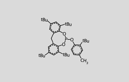 Cc1ccc(OP2Oc3c(cc(C(C)(C)C)cc3C(C)(C)C)Cc3cc(C(C)(C)C)cc(C(C)(C)C)c3O2)c(C(C)(C)C)c1